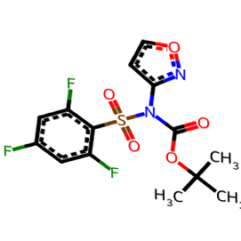 CC(C)(C)OC(=O)N(c1ccon1)S(=O)(=O)c1c(F)cc(F)cc1F